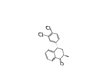 C[C@@H]1C[C@@H](c2ccc(Cl)c(Cl)c2)c2ccccc2C1=O